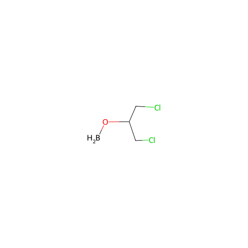 BOC(CCl)CCl